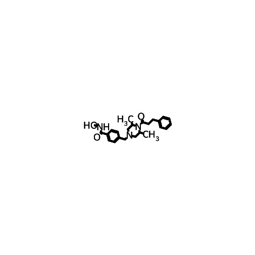 CC1CN(Cc2ccc(C(=O)NO)cc2)CC(C)N1C(=O)CCc1ccccc1